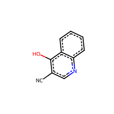 N#Cc1cnc2ccccc2c1O